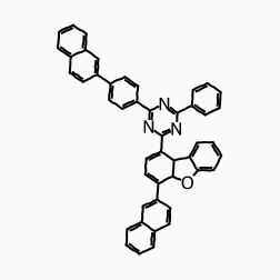 C1=C(c2ccc3ccccc3c2)C2Oc3ccccc3C2C(c2nc(-c3ccccc3)nc(-c3ccc(-c4ccc5ccccc5c4)cc3)n2)=C1